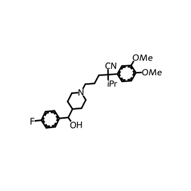 COc1ccc(C(C#N)(CCCN2CCC(C(O)c3ccc(F)cc3)CC2)C(C)C)cc1OC